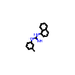 Cc1cccc(NC(=N)Nc2cccc3ccccc23)c1